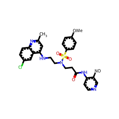 COc1ccc(S(=O)(=O)N(CCNc2cc(C)nc3ccc(Cl)cc23)CCC(=O)Nc2ccncc2N=O)cc1